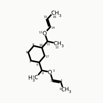 CC=COC(C)C1CCCC(C(C)OC=CC)C1